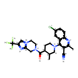 Cc1nc2ccc(Cl)cc2c(N2CCC(C(=O)N3CCn4cc(C(F)(F)F)nc4C3)C(C)C2)c1C#N